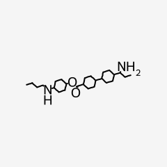 CCCCNC1CCC(OC(=O)C2CCC(C3CCC(C(N)CC)CC3)CC2)CC1